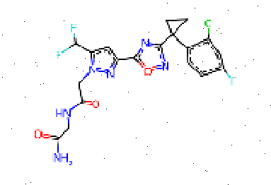 NC(=O)CNC(=O)Cn1nc(-c2nc(C3(c4ccc(F)cc4Cl)CC3)no2)cc1C(F)F